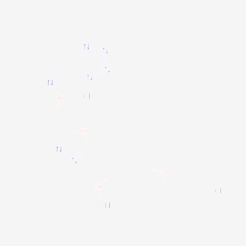 CCc1ccccc1Oc1ccc(-c2nnc(CO/N=C(/c3ccccc3)c3nnnn3C)o2)c(OC)c1